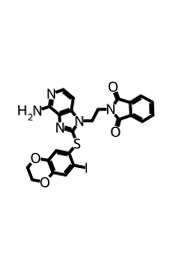 Nc1nccc2c1nc(Sc1cc3c(cc1I)OCCO3)n2CCN1C(=O)c2ccccc2C1=O